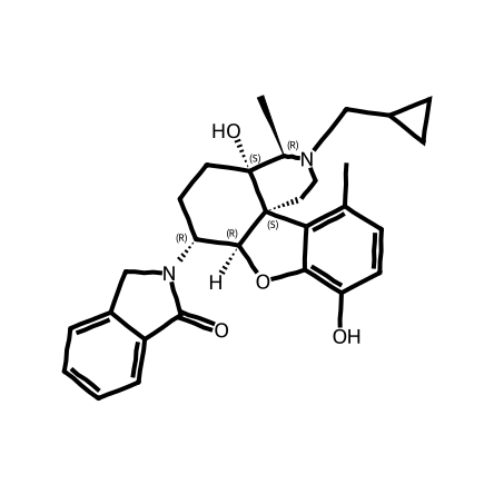 Cc1ccc(O)c2c1[C@]13CCN(CC4CC4)[C@H](C)[C@]1(O)CC[C@@H](N1Cc4ccccc4C1=O)[C@@H]3O2